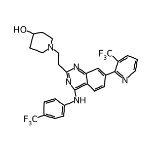 OC1CCN(CCc2nc(Nc3ccc(C(F)(F)F)cc3)c3ccc(-c4ncccc4C(F)(F)F)cc3n2)CC1